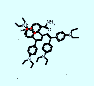 CCN(CC)c1ccc(C(=CC(C=C(c2ccc(N(CC)CC)cc2)c2ccc(N(CC)CC)cc2)c2cc(C(F)(F)F)ccc2C(N)=O)c2ccc(N(CC)CC)cc2)cc1